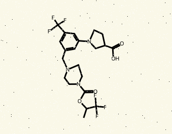 CC(OC(=O)N1CCN(Cc2cc(N3CCC(C(=O)O)C3)cc(C(F)(F)F)c2)CC1)C(F)(F)F